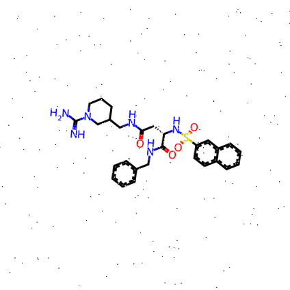 N=C(N)N1CCCC(CNC(=O)C[C@H](NS(=O)(=O)c2ccc3ccccc3c2)C(=O)NCc2ccccc2)C1